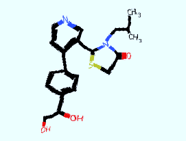 CC(C)CN1C(=O)CSC1c1cnccc1-c1ccc(C(O)CO)cc1